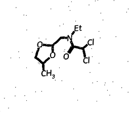 CCN(CC1OCC(C)O1)C(=O)C(Cl)Cl